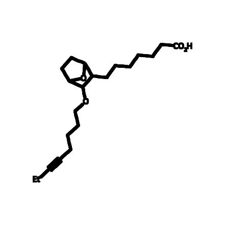 CCC#CCCCCOC1C2CCC(O2)C1CCCCCCC(=O)O